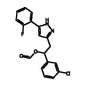 O=COC(Cc1cc(-c2ccccc2F)[nH]n1)c1cccc(Cl)c1